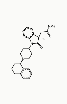 CNC(=O)C[C@@]1(C)C(=O)N(C2CCN([C@@H]3CCCc4ccccc43)CC2)c2ccccc21